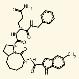 Cc1ccc2[nH]c(C(=O)N[C@H]3CCCCC4CC[C@@H](C(=O)N[C@@H](CCC(N)=O)C(=O)NCc5ccccc5)N4C3=O)cc2c1